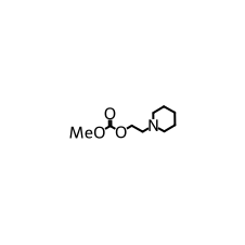 COC(=O)OCCN1CCCCC1